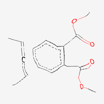 CC=C=CC.COC(=O)c1ccccc1C(=O)OC